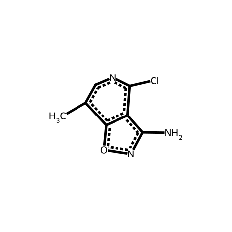 Cc1cnc(Cl)c2c(N)noc12